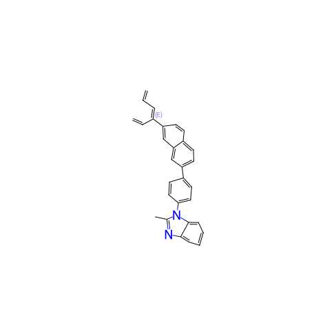 C=C/C=C(\C=C)c1ccc2ccc(-c3ccc(-n4c(C)nc5ccccc54)cc3)cc2c1